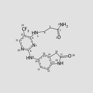 NC(=O)CCNc1nc(Nc2ccc3c(c2)CC(=O)N3)ncc1C(F)(F)F